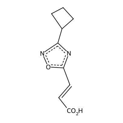 O=C(O)C=Cc1nc(C2CCC2)no1